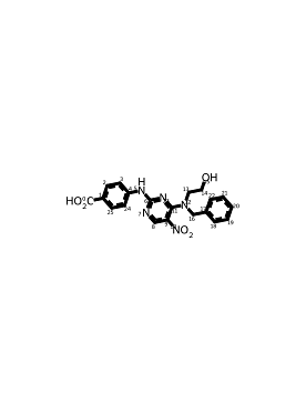 O=C(O)c1ccc(Nc2ncc([N+](=O)[O-])c(N(CCO)Cc3ccccc3)n2)cc1